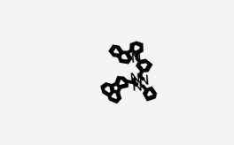 c1ccc(-c2nc(-c3cccc(-n4c5ccccc5c5c6ccccc6ccc54)c3)nc(-c3ccc4c(c3)-c3cccc5cccc-4c35)n2)cc1